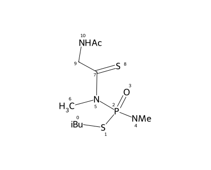 CCC(C)SP(=O)(NC)N(C)C(=S)CNC(C)=O